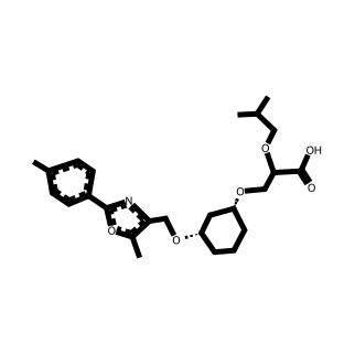 Cc1ccc(-c2nc(CO[C@H]3CCC[C@@H](OCC(OCC(C)C)C(=O)O)C3)c(C)o2)cc1